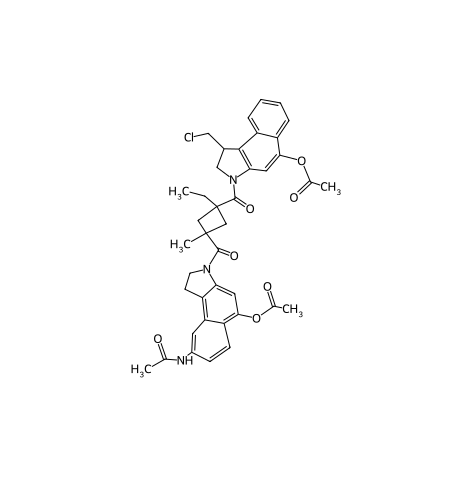 CCC1(C(=O)N2CC(CCl)c3c2cc(OC(C)=O)c2ccccc32)CC(C)(C(=O)N2CCc3c2cc(OC(C)=O)c2ccc(NC(C)=O)cc32)C1